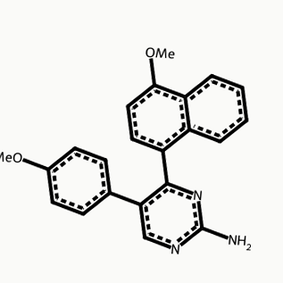 COc1ccc(-c2cnc(N)nc2-c2ccc(OC)c3ccccc23)cc1